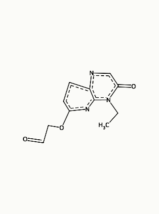 CCn1c(=O)cnc2ccc(OCC=O)nc21